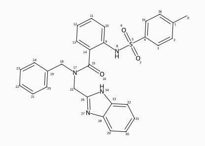 Cc1ccc(S(=O)(=O)Nc2ccccc2C(=O)N(Cc2ccccc2)Cc2nc3ccccc3[nH]2)cc1